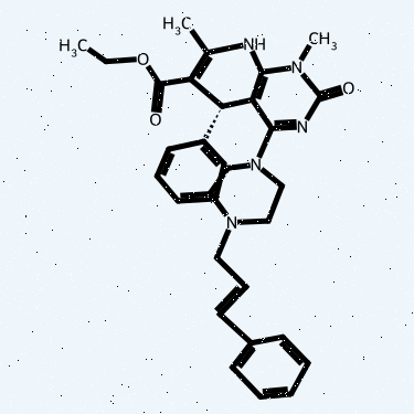 CCOC(=O)C1=C(C)Nc2c(c(N3CCN(C/C=C/c4ccccc4)CC3)nc(=O)n2C)[C@@H]1c1ccccc1